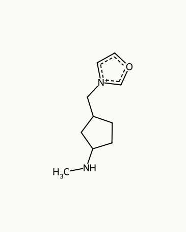 CNC1CCC(C[n+]2ccoc2)C1